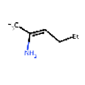 CCCC=C(C)N